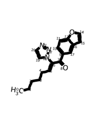 CCCCCC=C(C(=O)c1ccc2occc2c1)n1ccnn1